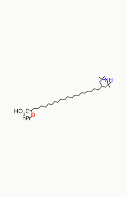 CCCOC(CCCCCCCCCCCCCCCCCCCCC1CC(C)(C)NC(C)(C)C1)C(=O)O